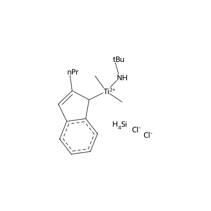 CCCC1=Cc2ccccc2[CH]1[Ti+2]([CH3])([CH3])[NH]C(C)(C)C.[Cl-].[Cl-].[SiH4]